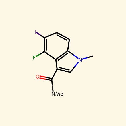 CNC(=O)c1cn(C)c2ccc(I)c(F)c12